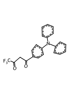 O=C(CC(=O)C(F)(F)F)c1ccc(N(c2ccccc2)c2ccccc2)cc1